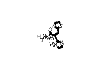 NNC(=O)C(=Cc1nccs1)c1ncc[nH]1